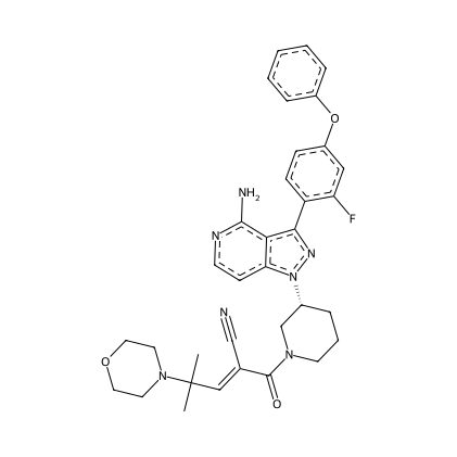 CC(C)(C=C(C#N)C(=O)N1CCC[C@@H](n2nc(-c3ccc(Oc4ccccc4)cc3F)c3c(N)nccc32)C1)N1CCOCC1